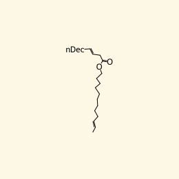 CC=CCCCCCCCCCOC(=O)CC=CCCCCCCCCCC